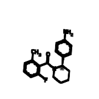 Cc1cccc(F)c1C(=O)N1CCCC[C@@H]1c1ccc(N)cc1